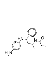 CCC(=O)N1c2ccccc2C(Nc2ccc(N)cc2)CC1C